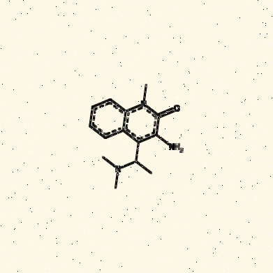 CC(c1c(N)c(=O)n(C)c2ccccc12)N(C)C